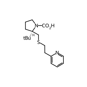 CC(C)(C)[C@]1(CSCCc2ccccn2)CCCN1C(=O)O